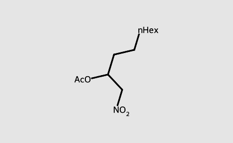 CCCCCCCCC(C[N+](=O)[O-])OC(C)=O